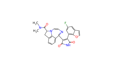 CN(C)C(=O)C1Cc2cccc3c2N1C=CN=C3C1=C(c2cc(F)cc3ccoc23)C(=O)NC1=O